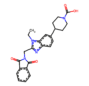 CCn1c(CN2C(=O)c3ccccc3C2=O)nc2ccc(C3CCN(C(=O)O)CC3)cc21